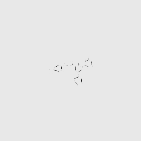 CS(=O)(=O)c1ccc(CNC(=O)c2cc(-c3ccccc3)cn(-c3cccc(C(F)(F)F)c3)c2=O)cc1